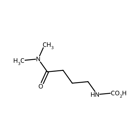 CN(C)C(=O)CCCNC(=O)O